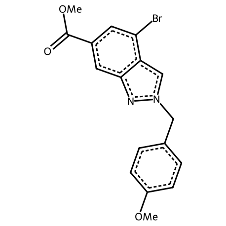 COC(=O)c1cc(Br)c2cn(Cc3ccc(OC)cc3)nc2c1